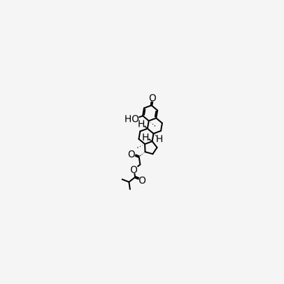 CC(C)C(=O)OCC(=O)[C@H]1CC[C@H]2[C@@H]3CCC4=CC(=O)C=C(O)[C@]4(C)[C@H]3CC[C@]12C